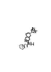 C=C(CN1CCCC[C@H]1C)Nc1cc2cc(-c3cnn(C)c3)ccc2cn1